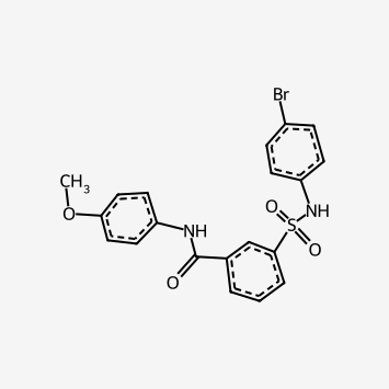 COc1ccc(NC(=O)c2cccc(S(=O)(=O)Nc3ccc(Br)cc3)c2)cc1